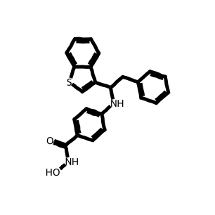 O=C(NO)c1ccc(NC(Cc2ccccc2)c2csc3ccccc23)cc1